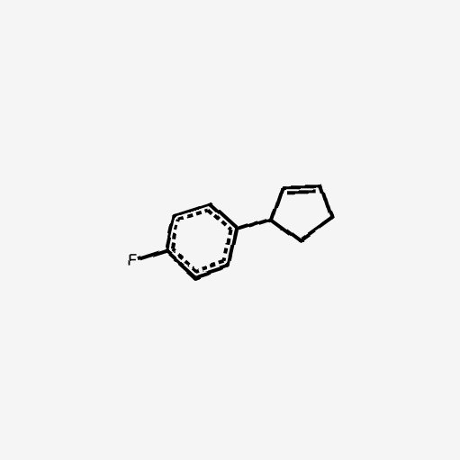 Fc1ccc(C2C=CCC2)cc1